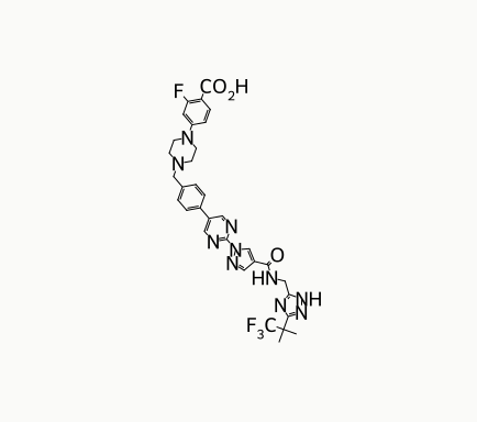 CC(C)(c1n[nH]c(CNC(=O)c2cnn(-c3ncc(-c4ccc(CN5CCN(c6ccc(C(=O)O)c(F)c6)CC5)cc4)cn3)c2)n1)C(F)(F)F